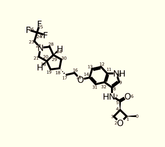 C[C@H]1OC[C@H]1C(=O)Nc1c[nH]c2ccc(OCC[C@@H]3C[C@@H]4CN(CC(F)(F)F)C[C@@H]4C3)cc12